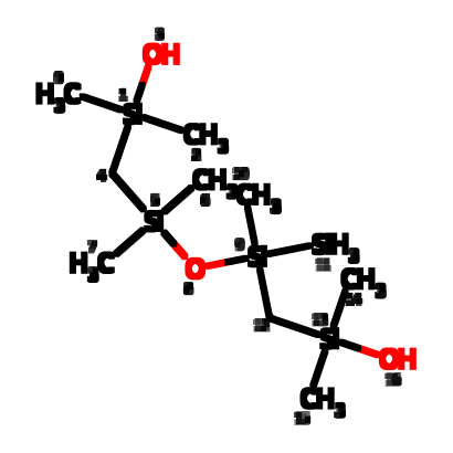 C[Si](C)(O)C[Si](C)(C)O[Si](C)([SiH3])C[Si](C)(C)O